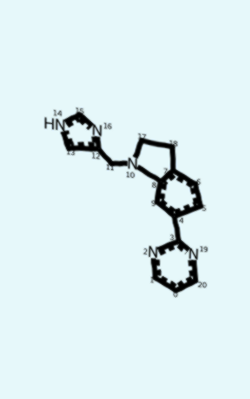 c1cnc(-c2ccc3c(c2)N(Cc2c[nH]cn2)CC3)nc1